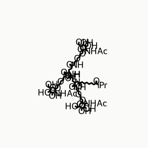 CC(=O)NC1C(OCCOCCNC(=O)CCC(NC(=O)CCC(NC(=O)CCCCCCC(=O)C(C)C)C(=O)NCCOCCOC2OC(CO)C(O)C(O)C2NC(C)=O)C(=O)NCCOCCOC2OC(CO)C(O)C(O)C2NC(C)=O)OC(CO)C(O)C1O